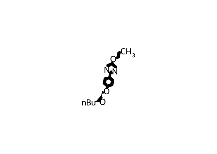 CC=COc1cnc(-c2ccc(OC[C@@H]3O[C@H]3CCCC)cc2)nc1